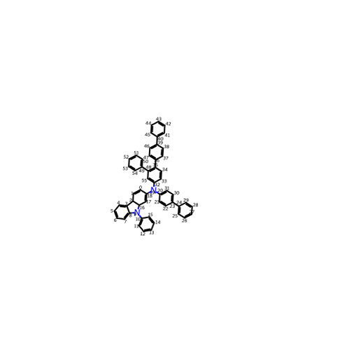 C1=CC2c3ccccc3N(c3ccccc3)C2C=C1N(c1ccc(-c2ccccc2)cc1)c1ccc(-c2ccc(-c3ccccc3)cc2)c(-c2ccccc2)c1